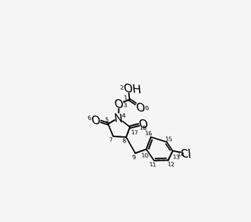 O=C(O)ON1C(=O)CC(Cc2ccc(Cl)cc2)C1=O